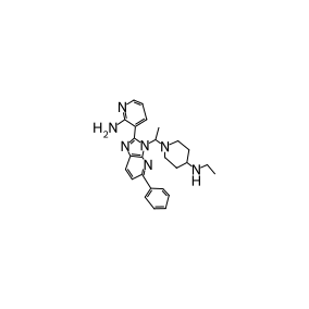 CCNC1CCN(C(C)n2c(-c3cccnc3N)nc3ccc(-c4ccccc4)nc32)CC1